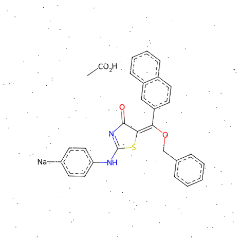 CC(=O)O.O=C1N=C(Nc2cc[c]([Na])cc2)SC1=C(OCc1ccccc1)c1ccc2ccccc2c1